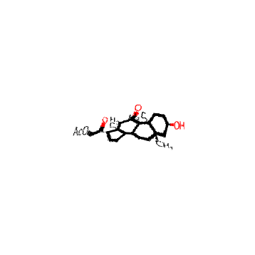 CC(=O)OCC(=O)[C@H]1CCC2C3CC[C@@]4(C)C[C@H](O)CC[C@]4(C)C3C(=O)C[C@@]21C